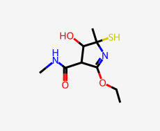 CCOC1=NC(C)(S)C(O)C1C(=O)NC